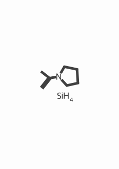 C=C(C)N1CCCC1.[SiH4]